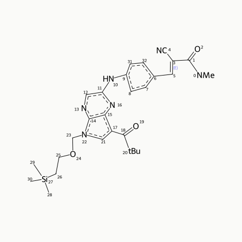 CNC(=O)/C(C#N)=C/c1ccc(Nc2cnc3c(n2)c(C(=O)C(C)(C)C)cn3COCC[Si](C)(C)C)cc1